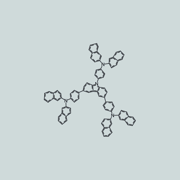 c1ccc2cc(N(c3ccc(-c4ccc5c(c4)c4cc(-c6ccc(N(c7ccc8ccccc8c7)c7ccc8ccccc8c7)cc6)ccc4n5-c4ccc(N(c5ccc6ccccc6c5)c5ccc6ccccc6c5)cc4)cc3)c3ccc4ccccc4c3)ccc2c1